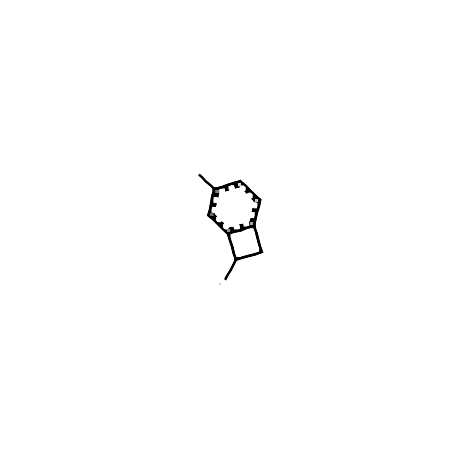 CC(C)(C)C1Cc2ccc(F)cc21